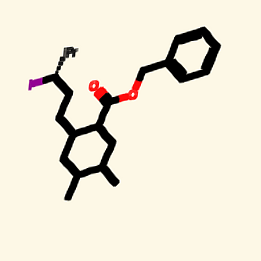 CC1CC(CC[C@H](I)C(C)C)C(C(=O)OCc2ccccc2)CC1C